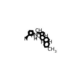 C[C@H]1CC[C@@H]2C3CC[C@@]4(C)C(CCC4[C@@H](C)Nc4cccc(C#N)c4)[C@@H]3CC[C@@H]2C1